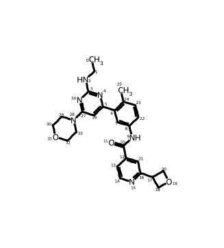 CCNc1nc(-c2cc(NC(=O)c3ccnc(C4COC4)c3)ccc2C)cc(N2CCOCC2)n1